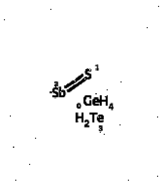 [GeH4].[S]=[Sb].[TeH2]